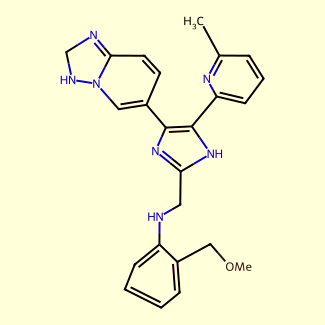 COCc1ccccc1NCc1nc(C2=CN3NCN=C3C=C2)c(-c2cccc(C)n2)[nH]1